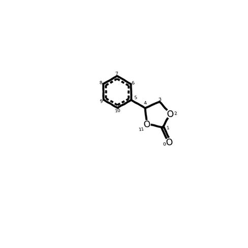 O=C1OCC(c2ccccc2)O1